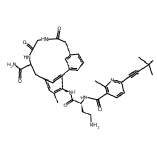 Cc1cc2cc(c1NC(=O)[C@H](CCN)NC(=O)c1ccc(C#CC(C)(C)C)nc1C)-c1cccc(c1)CC(=O)NCC(=O)NC(C(N)=O)C2